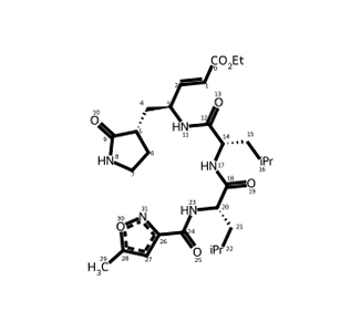 CCOC(=O)/C=C/[C@H](C[C@@H]1CCNC1=O)NC(=O)[C@H](CC(C)C)NC(=O)[C@H](CC(C)C)NC(=O)c1cc(C)on1